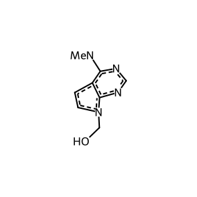 CNc1ncnc2c1ccn2CO